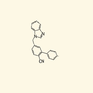 N#Cc1ccc(Cn2cnc3ccccc32)cc1-c1cc[c]cc1